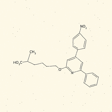 CC(CCCCOc1cc(-c2ccc([N+](=O)[O-])cc2)cc(-c2ccccc2)n1)C(=O)O